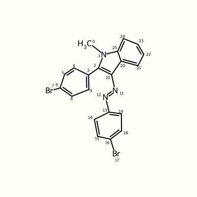 Cn1c(-c2ccc(Br)cc2)c(N=Nc2ccc(Br)cc2)c2ccccc21